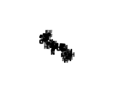 [2H]C([2H])([2H])N(C(=O)Nc1cc(Oc2cnc3nc(Nc4cc(C(F)(F)F)cn(C)c4=O)n(C)c3c2C#N)ccn1)C([2H])([2H])[2H]